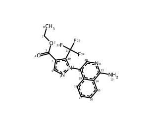 CCOC(=O)c1cnn(-c2cnc(N)c3ccccc23)c1C(F)(F)F